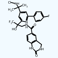 CC(C)(NCl)c1cc(-c2ccc(F)cc2)nc(C(O)(CNC(=O)c2ccc3c(c2)CNC(=O)N3)C(F)(F)F)c1